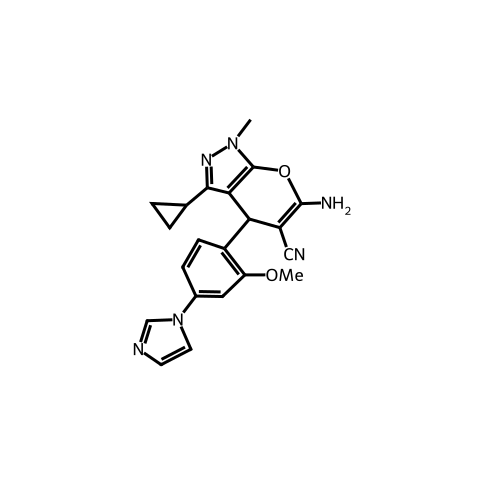 COc1cc(-n2ccnc2)ccc1C1C(C#N)=C(N)Oc2c1c(C1CC1)nn2C